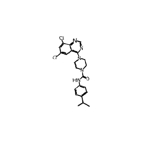 CC(C)c1ccc(NC(=O)N2CCN(c3ncnc4c(Cl)cc(Cl)cc34)CC2)cc1